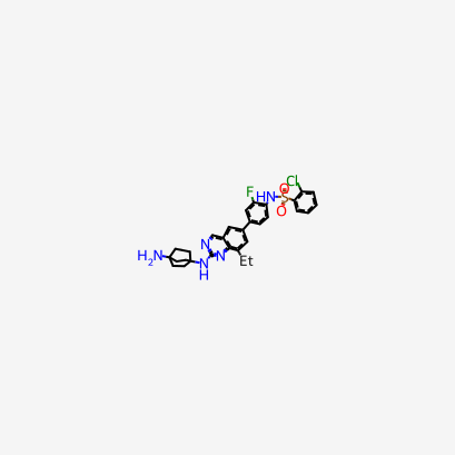 CCc1cc(-c2ccc(NS(=O)(=O)c3ccccc3Cl)c(F)c2)cc2cnc(NC34CCC(N)(CC3)CC4)nc12